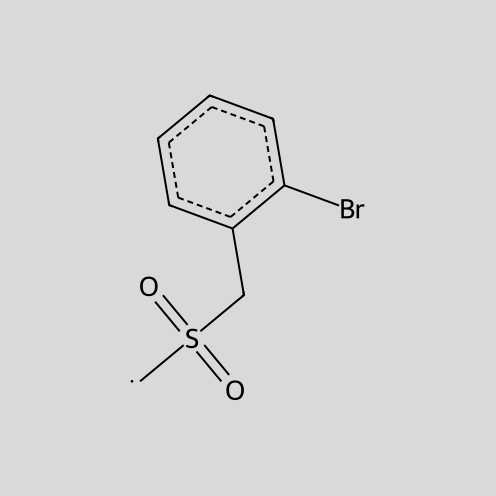 [CH2]S(=O)(=O)Cc1ccccc1Br